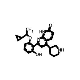 CC(Oc1cccc(O)c1-c1cc(C2CCCNC2)c2ccc(=O)[nH]c2n1)C1CC1